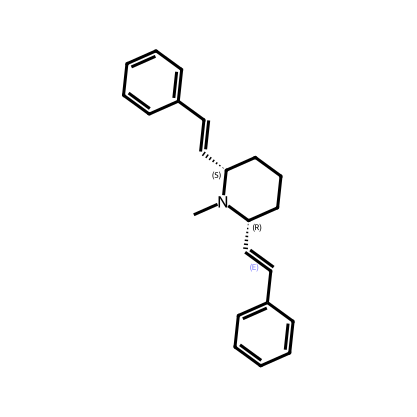 CN1[C@H](C=Cc2ccccc2)CCC[C@@H]1/C=C/c1ccccc1